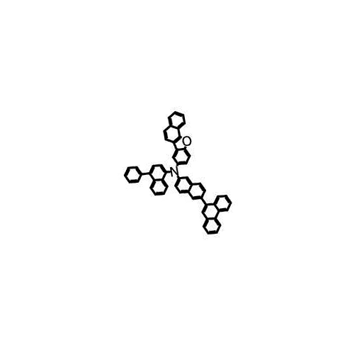 c1ccc(-c2ccc(N(c3ccc4cc(-c5cc6ccccc6c6ccccc56)ccc4c3)c3ccc4oc5c6ccccc6ccc5c4c3)c3ccccc23)cc1